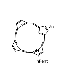 CCCCCC1=CC2=CC3=NC(=CC4=NC(=CC5=NC(=CC1=N2)C=C5)C=C4)C=C3.[Zn]